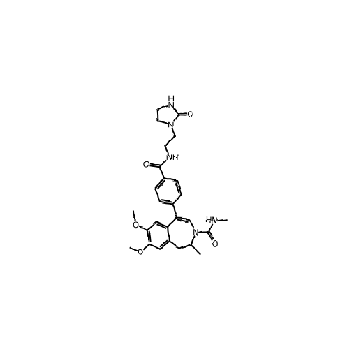 CNC(=O)N1C=C(c2ccc(C(=O)NCCN3CCNC3=O)cc2)c2cc(OC)c(OC)cc2CC1C